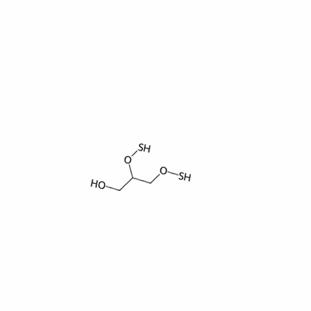 OCC(COS)OS